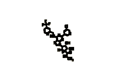 CNC(=O)[C@@]12C[C@@H]1C(n1cnc3c(NCc4cc(C(F)(F)F)ccn4)nc(-c4cncc(Cl)c4)nc31)[C@H](O)[C@@H]2O